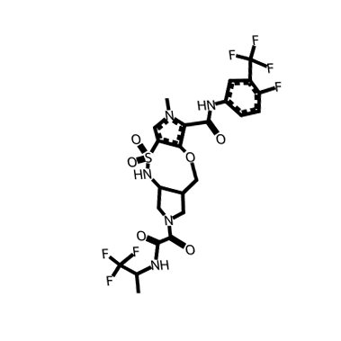 CC(NC(=O)C(=O)N1CC2COc3c(cn(C)c3C(=O)Nc3ccc(F)c(C(F)(F)F)c3)S(=O)(=O)NC2C1)C(F)(F)F